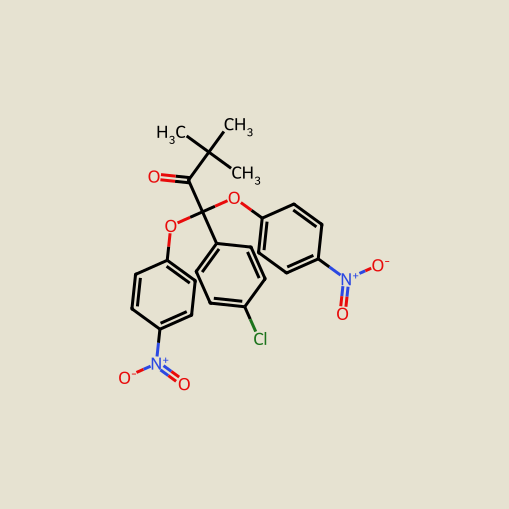 CC(C)(C)C(=O)C(Oc1ccc([N+](=O)[O-])cc1)(Oc1ccc([N+](=O)[O-])cc1)c1ccc(Cl)cc1